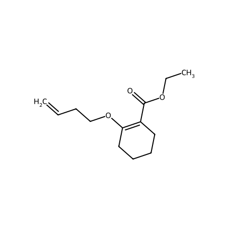 C=CCCOC1=C(C(=O)OCC)CCCC1